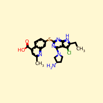 CCc1[nH]c2nc(Sc3ccc4c(C(=O)O)cc(C)nc4c3)nc(N3CC[C@H](N)C3)c2c1Cl